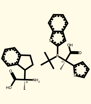 CC(C)(C)N(c1cc2ccccc2s1)[C@@](C)(C(=O)O)c1cccs1.C[C@](N)(C(=O)O)C1CCc2ccccc21